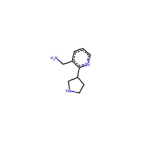 NCc1cccnc1C1CCNC1